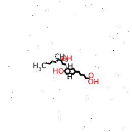 CCCCCC(C)C(O)/C=C/[C@@H]1[C@H]2C/C(=C/CCCC(=O)O)C[C@H]2C[C@H]1O